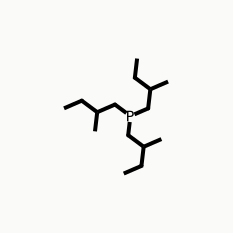 CCC(C)CP(CC(C)CC)CC(C)CC